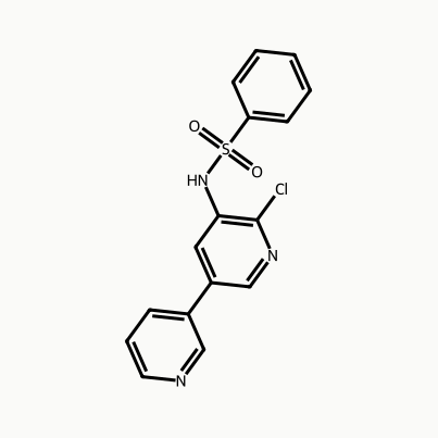 O=S(=O)(Nc1cc(-c2cccnc2)cnc1Cl)c1ccccc1